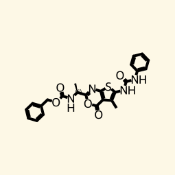 Cc1c(NC(=O)Nc2ccccc2)sc2nc([C@H](C)NC(=O)OCc3ccccc3)oc(=O)c12